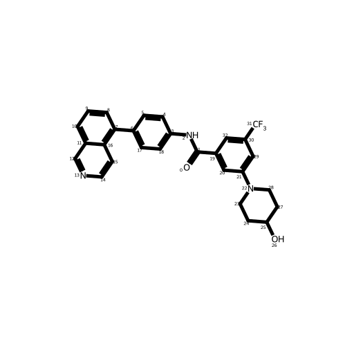 O=C(Nc1ccc(-c2cccc3cnccc23)cc1)c1cc(N2CCC(O)CC2)cc(C(F)(F)F)c1